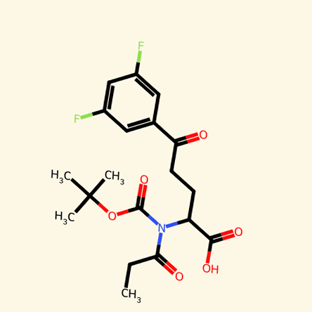 CCC(=O)N(C(=O)OC(C)(C)C)C(CCC(=O)c1cc(F)cc(F)c1)C(=O)O